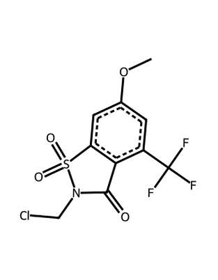 COc1cc(C(F)(F)F)c2c(c1)S(=O)(=O)N(CCl)C2=O